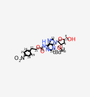 CC(C)(C)[Si](C)(C)OC1C[C@@H](CO)O[C@H]1n1cnc2c(NC(=O)OCCc3ccc([N+](=O)[O-])cc3)ncnc21